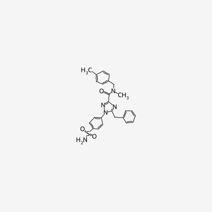 Cc1ccc(CN(C)C(=O)c2nc(Cc3ccccc3)n(-c3ccc(S(N)(=O)=O)cc3)n2)cc1